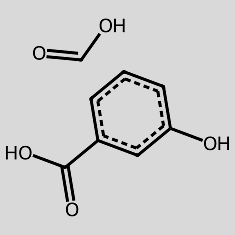 O=C(O)c1cccc(O)c1.O=CO